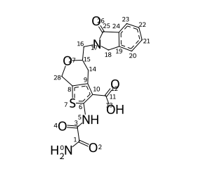 NC(=O)C(=O)Nc1sc2c(c1C(=O)O)CC(CN1Cc3ccccc3C1=O)OC2